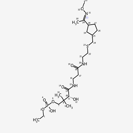 CCOP(=O)(O)OCC(C)(C)[C@@H](O)C(=O)NCCC(=O)NCCSCC1CCC(/C(C)=N/OI)C1